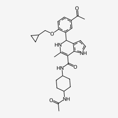 CC(=O)NC1CCC(NC(=O)C2=C(C)NC(c3cc(C(C)=O)ccc3OCC3CC3)c3cc[nH]c32)CC1